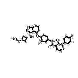 O=C(Nc1ccc(Oc2ccnc3[nH]nc(N[C@H]4C[C@H](CO)C4)c23)c(F)c1)c1ccnn(-c2ccc(F)cc2)c1=O